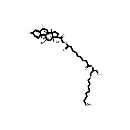 CCCCCCCCCCCCCCCCCOCC(CO)OC(=O)CCCCCCCC(=O)OCC(=O)[C@]1(O)CC[C@@H]2[C@@]3(C)C[C@@H](C)C4=CC(=O)C=C[C@@]4(C)[C@@H]3[C@H](O)C[C@]21C